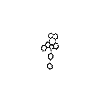 c1ccc(-c2ccc(-n3c4cccc5c4c4c(cc6ccccc6c43)-c3cccc4cccc-5c34)cc2)cc1